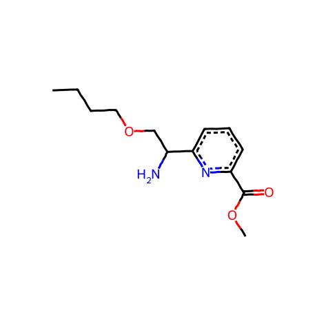 CCCCOCC(N)c1cccc(C(=O)OC)n1